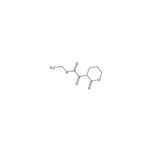 CCOC(=O)C(=O)C1CCCOC1=O